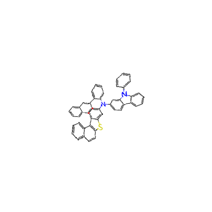 c1ccc(-n2c3ccccc3c3ccc(N(c4ccc5c(c4)sc4ccc6ccccc6c45)c4ccccc4-c4ccc5ccccc5c4)cc32)cc1